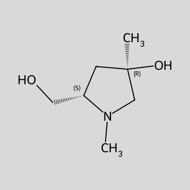 CN1C[C@](C)(O)C[C@H]1CO